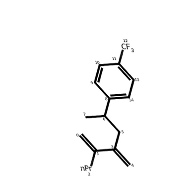 C=C(CCC)C(=C)CC(C)c1ccc(C(F)(F)F)cc1